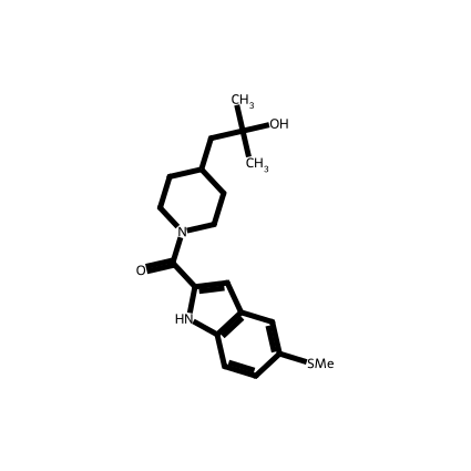 CSc1ccc2[nH]c(C(=O)N3CCC(CC(C)(C)O)CC3)cc2c1